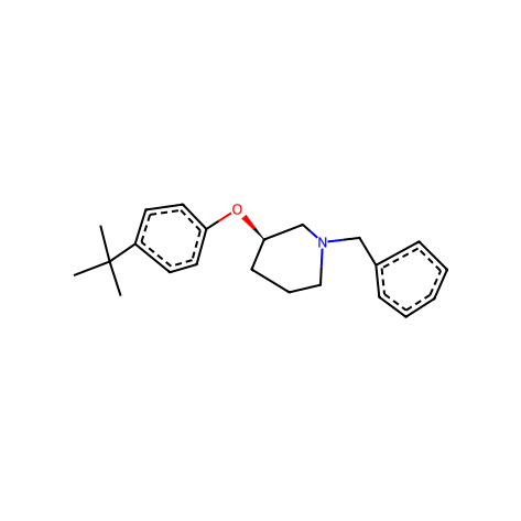 CC(C)(C)c1ccc(O[C@@H]2CCCN(Cc3ccccc3)C2)cc1